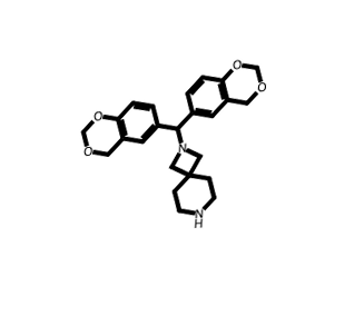 c1cc2c(cc1C(c1ccc3c(c1)COCO3)N1CC3(CCNCC3)C1)COCO2